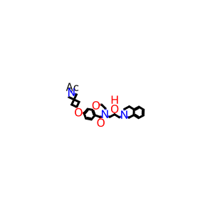 CC(=O)N1CC2(CC(Oc3ccc4c(c3)OCCN(C[C@H](O)CN3CCc5ccccc5C3)C4=O)C2)C1